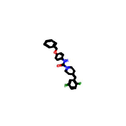 O=C(Nc1ccc(OCc2ccccc2)cc1)N1CCC(=Cc2cc(F)ccc2F)CC1